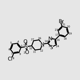 O=S(=O)(c1cccc(Cl)c1)C1CCN(c2nc(-c3cccc(Br)c3)cs2)CC1